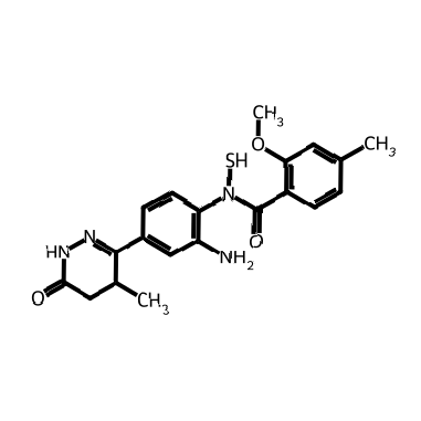 COc1cc(C)ccc1C(=O)N(S)c1ccc(C2=NNC(=O)CC2C)cc1N